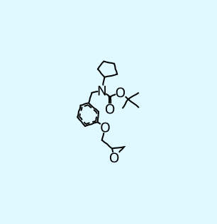 CC(C)(C)OC(=O)N(Cc1cccc(OCC2CO2)c1)C1CCCC1